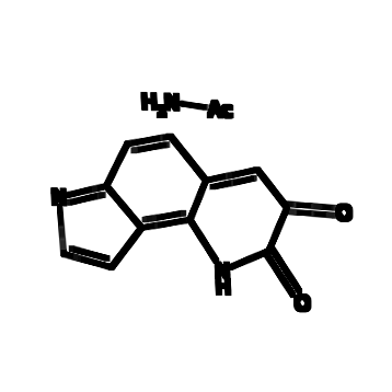 CC(N)=O.O=C1C=c2ccc3c(c2NC1=O)C=CN=3